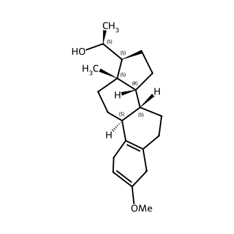 COC1=CCC2=C(CC[C@@H]3[C@@H]2CC[C@@]2(C)[C@@H]3CC[C@@H]2[C@H](C)O)C1